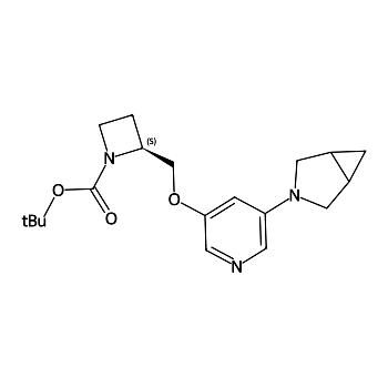 CC(C)(C)OC(=O)N1CC[C@H]1COc1cncc(N2CC3CC3C2)c1